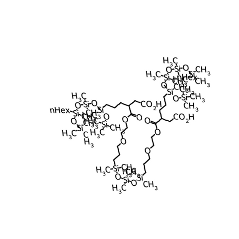 CCCCCC[Si](C)(O[Si](C)(C)C)O[Si](C)(C)O[Si](C)(CCCC(CC(=O)O)C(=O)OCCOCCC[Si](C)(C)O[Si](C)(C)O[Si](C)(C)CCCOCCOC(=O)C(CCC[Si](C)(O[Si](C)(C)C)O[Si](C)(C)O[Si](C)(CCCCCC)O[Si](C)(C)C)CC(=O)O)O[Si](C)(C)C